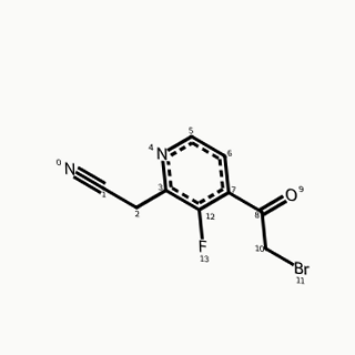 N#CCc1nccc(C(=O)CBr)c1F